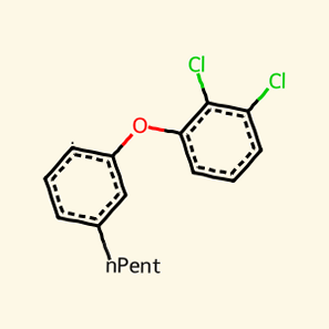 CCCCCc1cc[c]c(Oc2cccc(Cl)c2Cl)c1